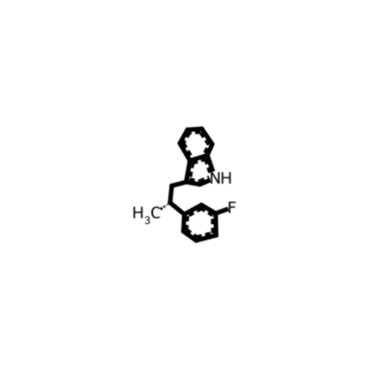 C[C@H](Cc1c[nH]c2ccccc12)c1cccc(F)c1